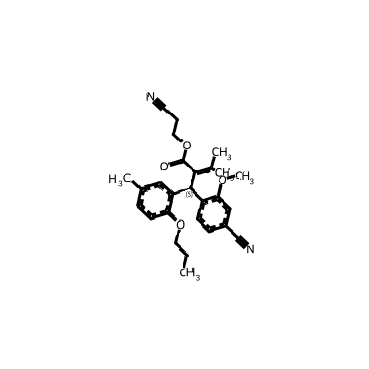 CCCOc1ccc(C)cc1[C@@H](C(C(=O)OCCC#N)=C(C)C)c1ccc(C#N)cc1OC